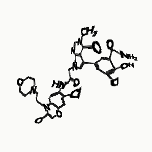 Cn1cnc2c(c(-c3cc(Cl)c(O)c(C(N)=O)c3)cn2CC(=O)Nc2cc3c(cc2Cl)OCC(=O)N3CCN2CCOCC2)c1=O